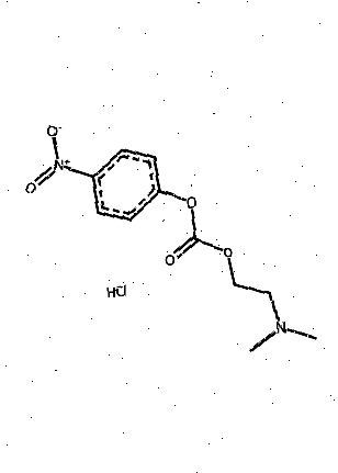 CN(C)CCOC(=O)Oc1ccc([N+](=O)[O-])cc1.Cl